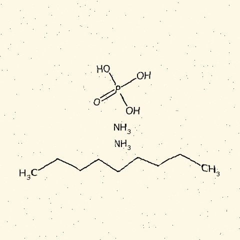 CCCCCCCCC.N.N.O=P(O)(O)O